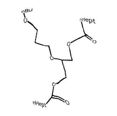 CCCCCCCC(=O)OCC(COC(=O)CCCCCCC)OCCCOCCCC